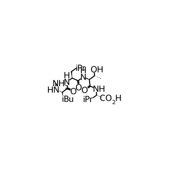 CC[C@H](C)[C@H](NN)C(=O)N[C@@H](CC(C)C)C(=O)N[C@H](C(=O)N[C@H](C(=O)O)C(C)C)[C@@H](C)O